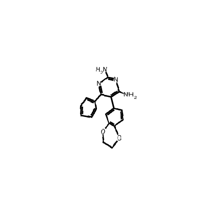 Nc1nc(N)c(-c2ccc3c(c2)OCCO3)c(-c2ccccc2)n1